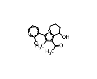 CC(=O)c1c(C)c(-c2cccnc2Cl)n2c1C(O)CCC2